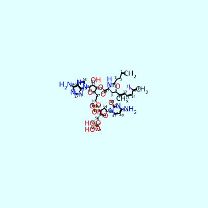 C=CCCC(=O)N[C@@H](CC/C(C)=C/C=C\C(=C)I)C(=O)O[C@H]1[C@@H](O)[C@H](n2cnc3c(N)ncnc32)O[C@@H]1CCOP(=O)(O)[C@H]1C[C@H](n2ccc(N)nc2=O)O[C@@H]1COP(=O)(O)O